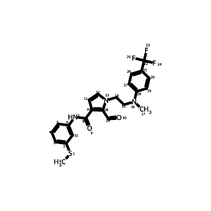 CSc1cccc(NC(=O)c2ccn(CCN(C)c3ccc(C(F)(F)F)cc3)c2C=O)c1